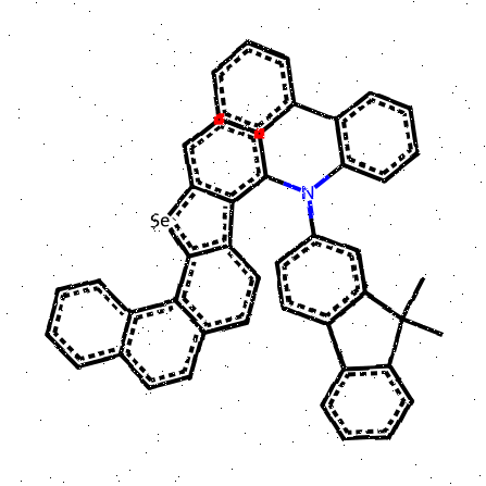 CC1(C)c2ccccc2-c2ccc(N(c3ccccc3-c3ccccc3)c3cccc4[se]c5c(ccc6ccc7ccccc7c65)c34)cc21